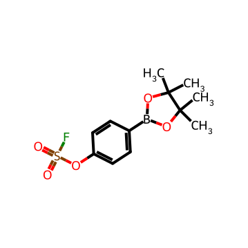 CC1(C)OB(c2ccc(OS(=O)(=O)F)cc2)OC1(C)C